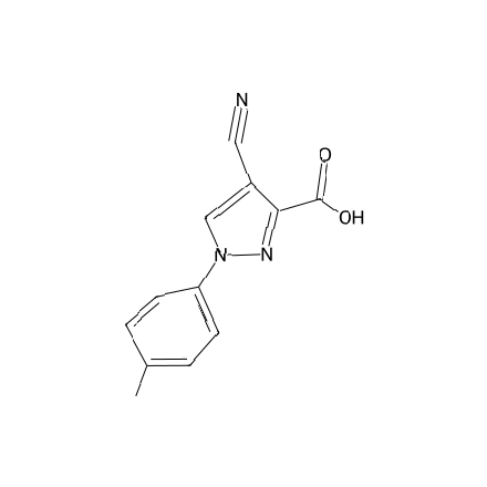 Cc1ccc(-n2cc(C#N)c(C(=O)O)n2)cc1